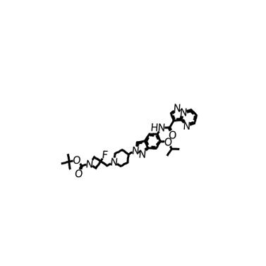 CC(C)Oc1cc2nn(C3CCN(CC4(F)CN(C(=O)OC(C)(C)C)C4)CC3)cc2cc1NC(=O)c1cnn2cccnc12